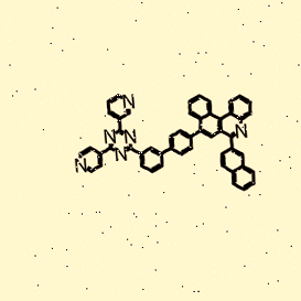 c1cncc(-c2nc(-c3ccncc3)nc(-c3cccc(-c4ccc(-c5cc6c(-c7ccc8ccccc8c7)nc7ccccc7c6c6ccccc56)cc4)c3)n2)c1